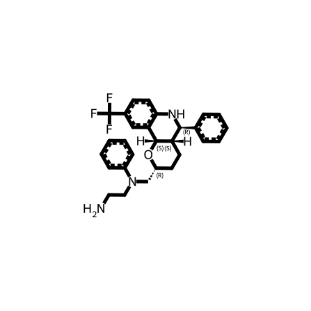 NCCN(C[C@H]1CC[C@@H]2[C@H](O1)c1cc(C(F)(F)F)ccc1N[C@H]2c1ccccc1)c1ccccc1